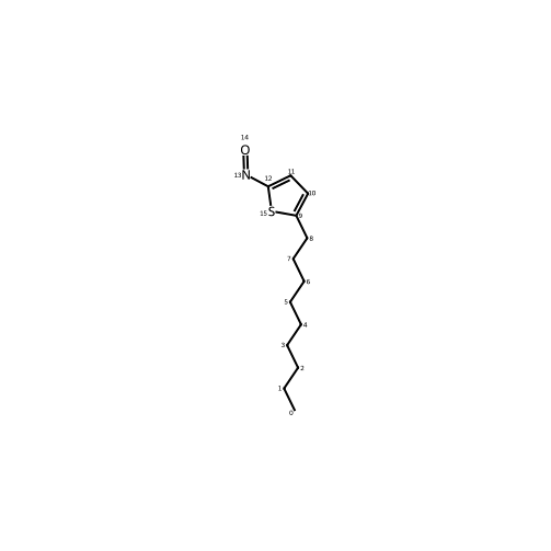 CCCCCCCCCc1ccc(N=O)s1